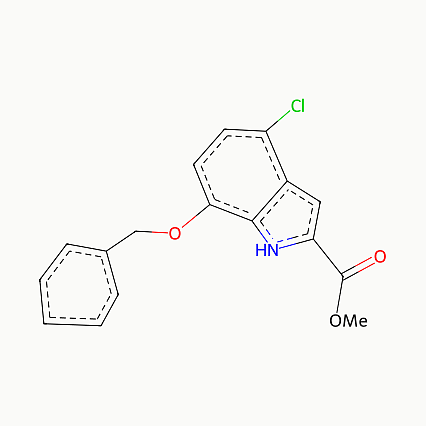 COC(=O)c1cc2c(Cl)ccc(OCc3ccccc3)c2[nH]1